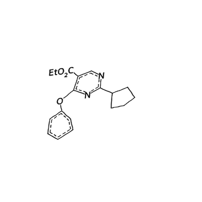 CCOC(=O)c1cnc(C2CCCC2)nc1Oc1ccccc1